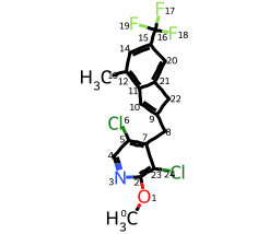 COc1ncc(Cl)c(CC2=Cc3c(C)cc(C(F)(F)F)cc3C2)c1Cl